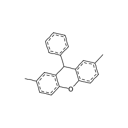 Cc1ccc2c(c1)C(c1ccccc1)c1cc(C)ccc1O2